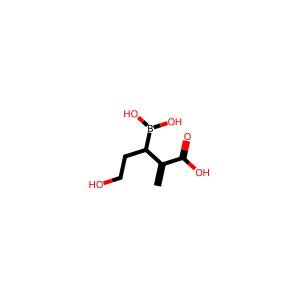 C=C(C(=O)O)C(CCO)B(O)O